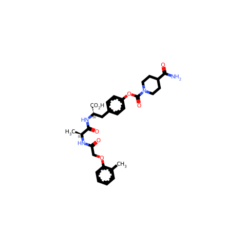 Cc1ccccc1OCC(=O)N[C@@H](C)C(=O)N[C@@H](Cc1ccc(OC(=O)N2CCC(C(N)=O)CC2)cc1)C(=O)O